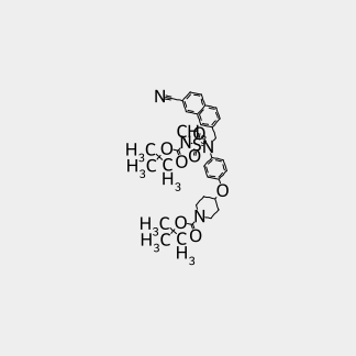 CN(C(=O)OC(C)(C)C)S(=O)(=O)N(Cc1ccc2ccc(C#N)cc2c1)c1ccc(OC2CCN(C(=O)OC(C)(C)C)CC2)cc1